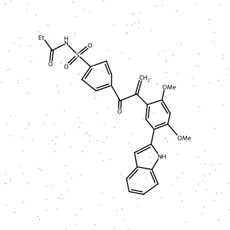 C=C(C(=O)c1ccc(S(=O)(=O)NC(=O)CC)cc1)c1cc(-c2cc3ccccc3[nH]2)c(OC)cc1OC